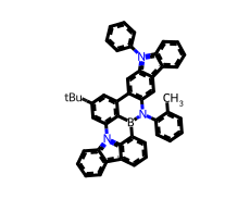 Cc1ccccc1N1B2c3c(cc(C(C)(C)C)cc3-n3c4ccccc4c4cccc2c43)-c2cc3c(cc21)c1ccccc1n3-c1ccccc1